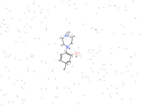 Bc1cc(C)ccc1N1CCN(C)CC1